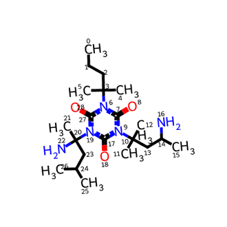 CCCC(C)(C)n1c(=O)n(C(C)(C)CC(C)N)c(=O)n(C(C)(N)CC(C)C)c1=O